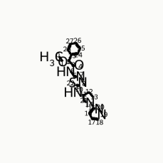 COC(C(=O)Nc1nnc(N[C@@H]2CCN(c3cccnn3)C2)s1)c1ccccc1